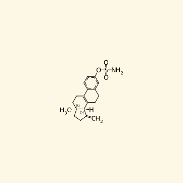 C=C1CC[C@@]2(C)CCC3=C(CCc4cc(OS(N)(=O)=O)ccc43)[C@H]12